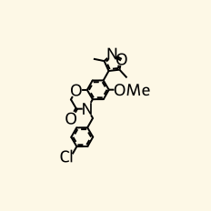 COc1cc2c(cc1-c1c(C)noc1C)OCC(=O)N2Cc1ccc(Cl)cc1